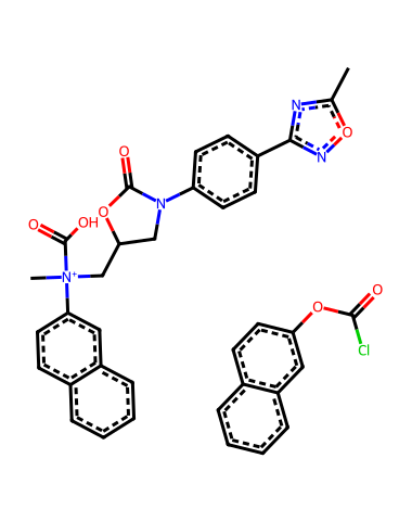 Cc1nc(-c2ccc(N3CC(C[N+](C)(C(=O)O)c4ccc5ccccc5c4)OC3=O)cc2)no1.O=C(Cl)Oc1ccc2ccccc2c1